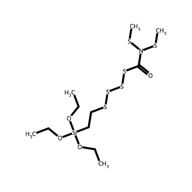 CCO[Si](CCSSSSC(=O)N(SC)SC)(OCC)OCC